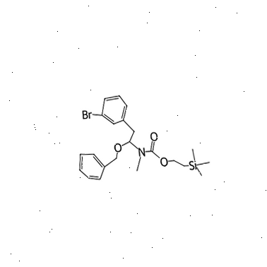 CN(C(=O)OCC[Si](C)(C)C)C(Cc1cccc(Br)c1)OCc1ccccc1